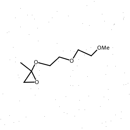 COCCOCCOC1(C)CO1